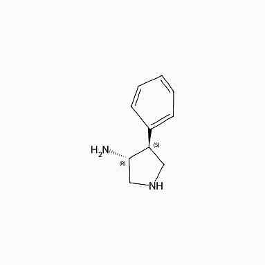 N[C@H]1CNC[C@@H]1c1ccccc1